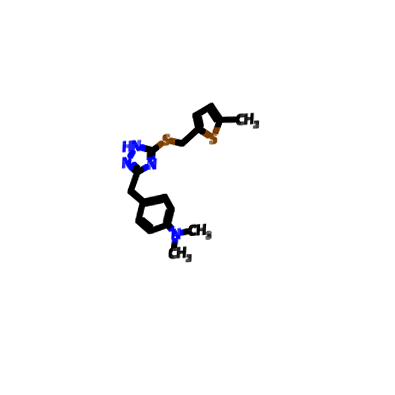 Cc1ccc(CSc2nc(Cc3ccc(N(C)C)cc3)n[nH]2)s1